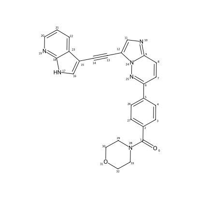 O=C(c1ccc(-c2ccc3ncc(C#Cc4c[nH]c5ncccc45)n3n2)cc1)N1CCOCC1